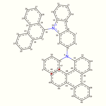 c1ccc(N(c2ccc3c4ccccc4n(-c4cc5ccccc5c5ccccc45)c3c2)c2cccc3c4ccccc4c4ccccc4c23)cc1